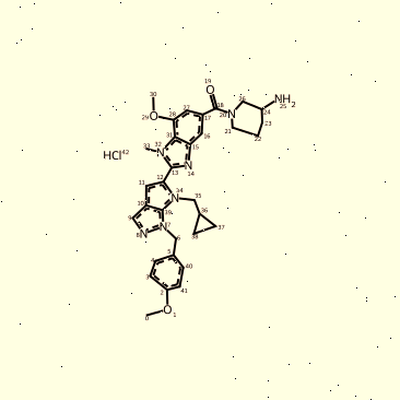 COc1ccc(Cn2ncc3cc(-c4nc5cc(C(=O)N6CCCC(N)C6)cc(OC)c5n4C)n(CC4CC4)c32)cc1.Cl